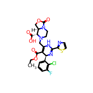 CCOC(=O)C1=C(CN2CCN3C(=O)OC[C@@H]3[C@H]2C(=O)O)NC(c2nccs2)=N[C@H]1c1cccc(F)c1Cl